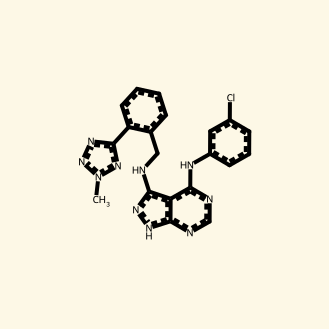 Cn1nnc(-c2ccccc2CNc2n[nH]c3ncnc(Nc4cccc(Cl)c4)c23)n1